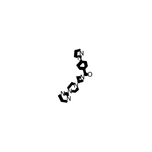 O=C(c1ccc(-n2cccn2)cc1)N1CC(N2CCN(c3ncccn3)CC2)C1